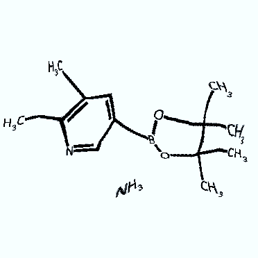 Cc1cc(B2OC(C)(C)C(C)(C)O2)cnc1C.N